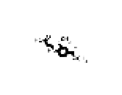 COC(=O)c1ccc(NCCC(=O)O)c(OC)c1